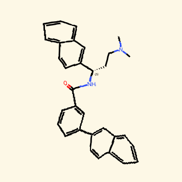 CN(C)CC[C@H](NC(=O)c1cccc(-c2ccc3ccccc3c2)c1)c1ccc2ccccc2c1